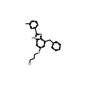 Cc1cccc(-c2nc3c(Cc4ccccc4)cc(OCCCCl)cc3[nH]2)c1